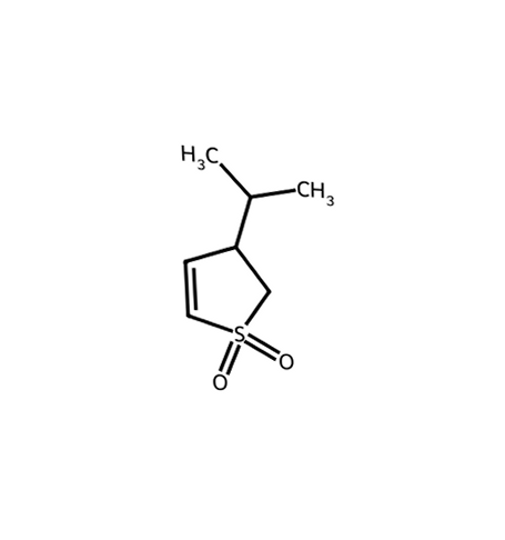 CC(C)C1C=CS(=O)(=O)C1